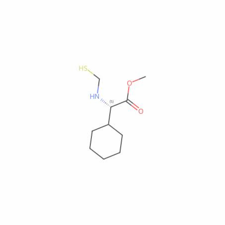 COC(=O)[C@@H](NCS)C1CCCCC1